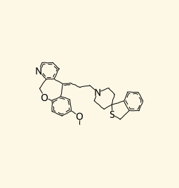 COc1ccc2c(c1)C(=CCCN1CCC3(CC1)SCc1ccccc13)c1cccnc1CO2